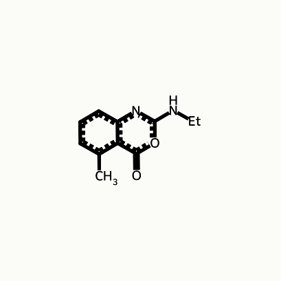 CCNc1nc2cccc(C)c2c(=O)o1